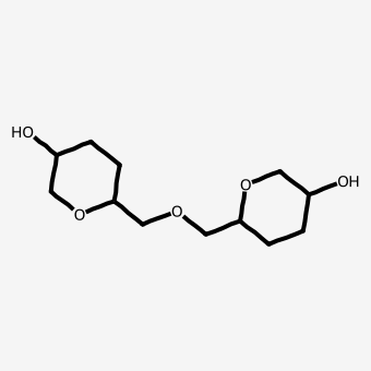 OC1CCC(COCC2CCC(O)CO2)OC1